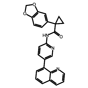 O=C(Nc1ccc(-c2cccc3cccnc23)cn1)C1(c2ccc3c(c2)OCO3)CC1